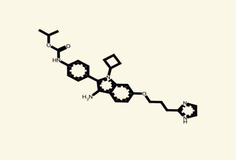 CC(C)OC(=O)Nc1ccc(-c2c(N)c3ccc(OCCCc4ncc[nH]4)cc3n2C2CCC2)cc1